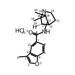 Cc1coc2ccc(C(=O)N[C@@H]3C4CCN(CC4)C3(C)C)cc12.Cl